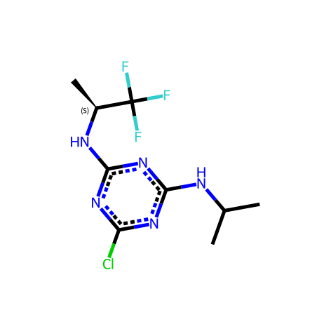 CC(C)Nc1nc(Cl)nc(N[C@@H](C)C(F)(F)F)n1